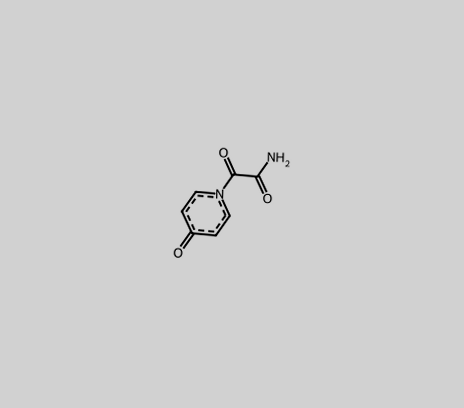 NC(=O)C(=O)n1ccc(=O)cc1